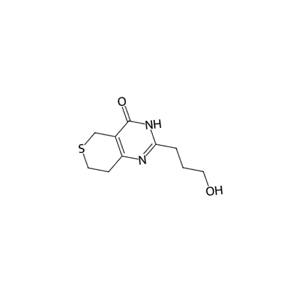 O=c1[nH]c(CCCO)nc2c1CSCC2